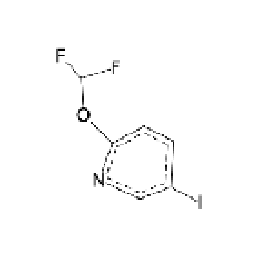 FC(F)Oc1ccc(I)cn1